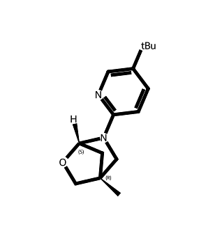 CC(C)(C)c1ccc(N2C[C@]3(C)CO[C@H]2C3)nc1